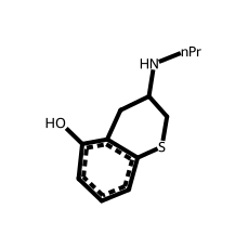 CCCNC1CSc2cccc(O)c2C1